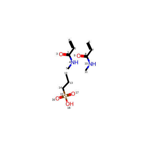 C=CC(=O)NC.C=CC(=O)NC.CCCS(=O)(=O)O